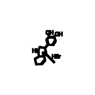 Br.CC1C=C2C(c3ccc(O)c(O)c3)CNC3CCC=CC23S1